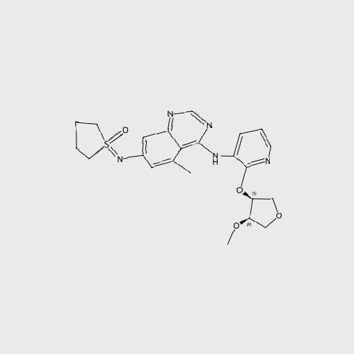 CO[C@@H]1COC[C@@H]1Oc1ncccc1Nc1ncnc2cc(N=S3(=O)CCCC3)cc(C)c12